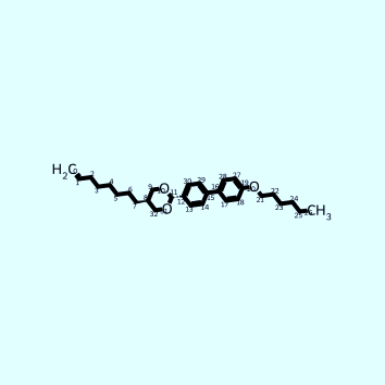 C=CCCCCCC[C@H]1CO[C@H](c2ccc(-c3ccc(OCCCCCC)cc3)cc2)OC1